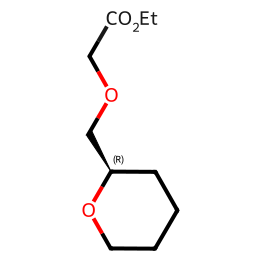 CCOC(=O)COC[C@H]1CCCCO1